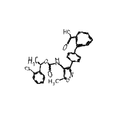 Cc1onc(-c2ccc(-c3ccccc3C(=O)O)cc2)c1NC(=O)OC(C)c1ccccc1Cl